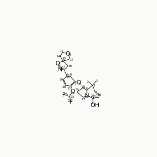 CC(C)(C)C1[C@@H](Oc2cc(C3=NOC4(CCOC4)C3)ccc2OC(F)F)CCN1C(=O)O